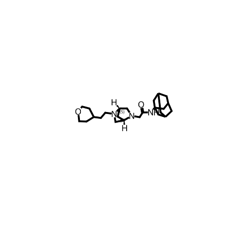 O=C(CN1C[C@@H]2C[C@H]1CN2CCC1CCOCC1)NC12CC3CC(CC(C3)C1)C2